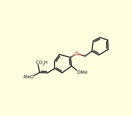 COC(=Cc1ccc(OCc2ccccc2)c(OC)c1)C(=O)O